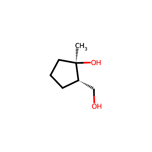 C[C@@]1(O)CCC[C@H]1CO